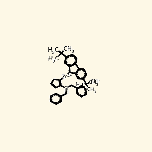 CC(C)(C)c1ccc2c(c1)[CH]([Zr+2][C]1=C([SiH](Cc3ccccc3)Cc3ccccc3)C=CC1)c1cc(C(C)(C)C)ccc1-2.[Cl-].[Cl-]